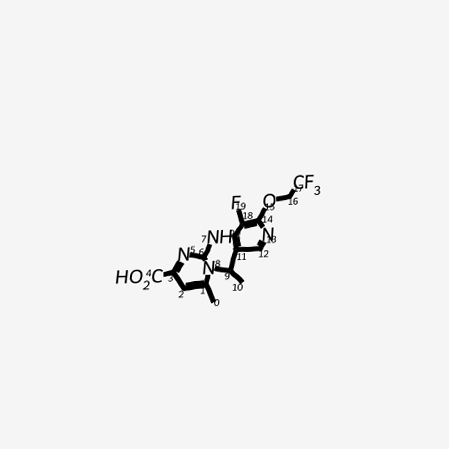 CC1=CC(C(=O)O)=NC(N)N1C(C)c1cnc(OCC(F)(F)F)c(F)c1